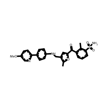 COc1ccc(-c2ccc(NCc3cc(C(=O)c4cccc(S(N)(=O)=O)c4C)oc3C)cc2)nc1